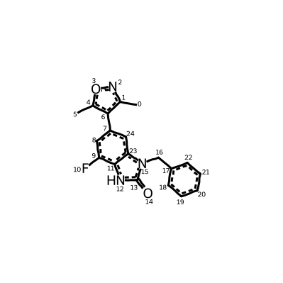 Cc1noc(C)c1-c1cc(F)c2[nH]c(=O)n(Cc3ccccc3)c2c1